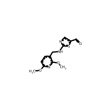 COc1ccc(CNc2ncc(C=O)s2)c(OC)n1